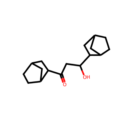 O=C(CC(O)C1CC2CCC1C2)C1CC2CCC1C2